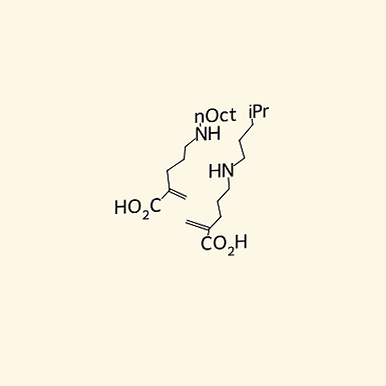 C=C(CCCNCCCC(C)C)C(=O)O.C=C(CCCNCCCCCCCC)C(=O)O